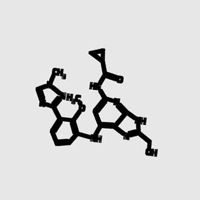 COc1c(Nc2cc(NC(=O)C3CC3)nc3[nH]c(CO)nc23)cccc1-c1ncn(C)n1